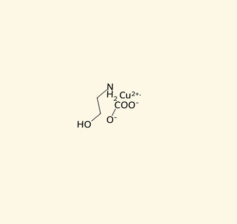 NCCO.O=C([O-])[O-].[Cu+2]